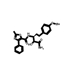 Cc1nc(-c2ccccc2)c(C(=O)N[C@@H](CCc2ccc(OC(C)(C)C)cc2)C(O)C(N)=O)o1